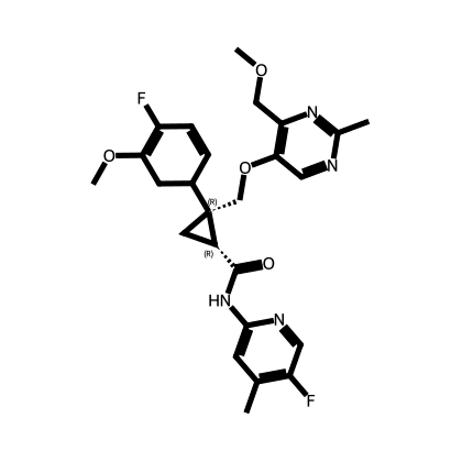 COCc1nc(C)ncc1OC[C@@]1(C2C=CC(F)=C(OC)C2)C[C@H]1C(=O)Nc1cc(C)c(F)cn1